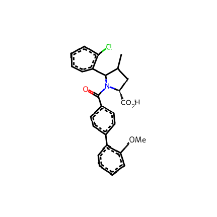 COc1ccccc1-c1ccc(C(=O)N2C(c3ccccc3Cl)C(C)C[C@H]2C(=O)O)cc1